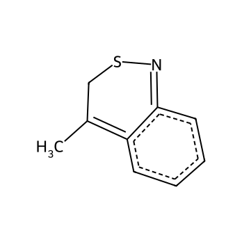 CC1=c2ccccc2=NSC1